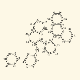 c1ccc(-c2cccc(-n3c4cccc5c4c4c6c(cccc6ccc43)-c3c-5c4ccccc4c4ccccc34)c2)cc1